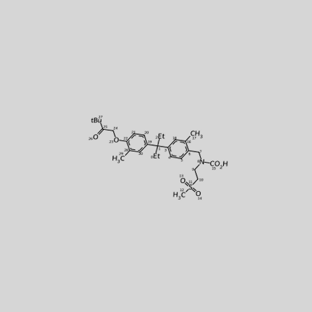 CCC(CC)(c1ccc(CN(CCS(C)(=O)=O)C(=O)O)c(C)c1)c1ccc(OCC(=O)C(C)(C)C)c(C)c1